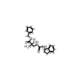 NC(O)(CNC(=O)N[C@@H]1CCc2ccccc21)C(=O)OCc1ccccc1